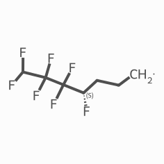 [CH2]CC[C@H](F)C(F)(F)C(F)(F)C(F)F